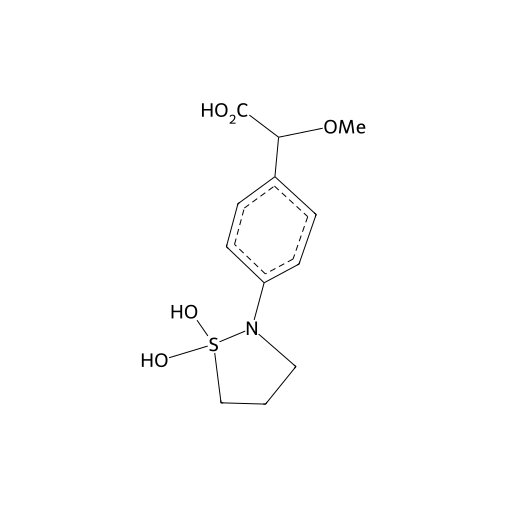 COC(C(=O)O)c1ccc(N2CCCS2(O)O)cc1